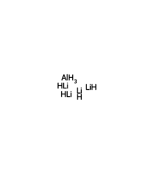 [AlH3].[LiH].[LiH].[LiH].[LiH]